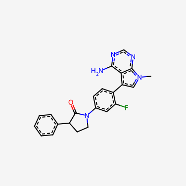 Cn1cc(-c2ccc(N3CCC(c4ccccc4)C3=O)cc2F)c2c(N)ncnc21